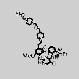 CCOCN1CCN(COCC2CCN(CCc3cc(OC)c(Nc4ncc(Cl)c(Nc5ccccc5S(=O)(=O)C(C)C)n4)cc3C)CC2)CC1